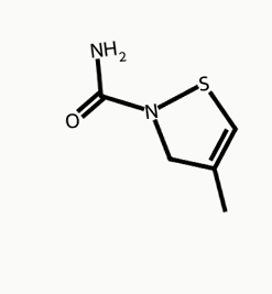 CC1=CSN(C(N)=O)C1